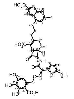 Cc1cc(SCCC2=C(C(=O)O)N3C(=O)[C@@H](NC(=O)/C(=N\OCc4cc(O)c(O)c(O)c4C(=O)O)c4csc(N)n4)[C@H]3SC2)n2nc(C(=O)O)nc2n1